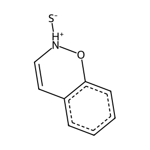 [S-][NH+]1C=Cc2ccccc2O1